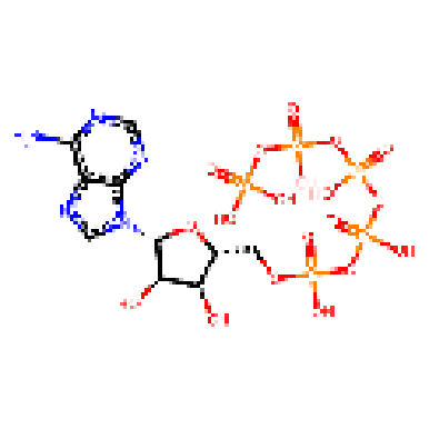 Nc1ncnc2c1ncn2[C@@H]1O[C@H](COP(=O)(O)OP(=O)(O)OP(=O)(O)OP(=O)(O)OP(=O)(O)O)[C@@H](O)[C@H]1O